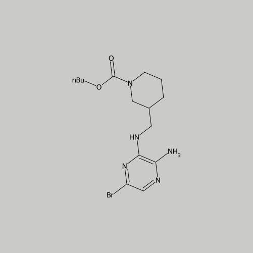 CCCCOC(=O)N1CCCC(CNc2nc(Br)cnc2N)C1